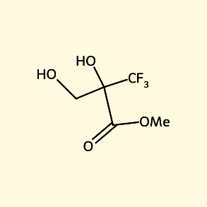 COC(=O)C(O)(CO)C(F)(F)F